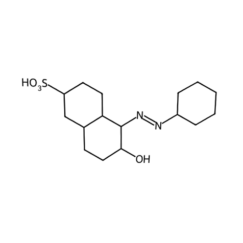 O=S(=O)(O)C1CCC2C(CCC(O)C2N=NC2CCCCC2)C1